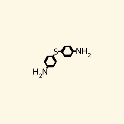 Nc1ccc(Sc2ccc(N)cc2)cc1